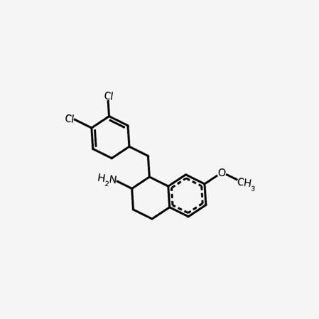 COc1ccc2c(c1)C(CC1C=C(Cl)C(Cl)=CC1)C(N)CC2